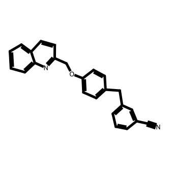 N#Cc1cccc(Cc2ccc(OCc3ccc4ccccc4n3)cc2)c1